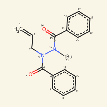 C=CCN(C(=O)c1ccccc1)N(C(=O)c1ccccc1)C(C)(C)C